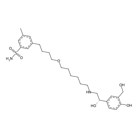 Cc1cc(CCCCOCCCCCCNC[C@@H](O)c2ccc(O)c(CO)c2)cc(S(N)(=O)=O)c1